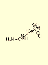 Cc1sc2c(c1C)C(c1ccc(Cl)cc1)=N[C@@H](CC(=O)NCCCCCC(=O)Nc1ccc(C#CCN)cc1)c1nnc(C)n1-2